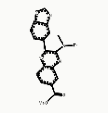 COC(=O)c1ccc2nc(-c3ccc4scnc4c3)c(N(C)C(C)C)nc2c1